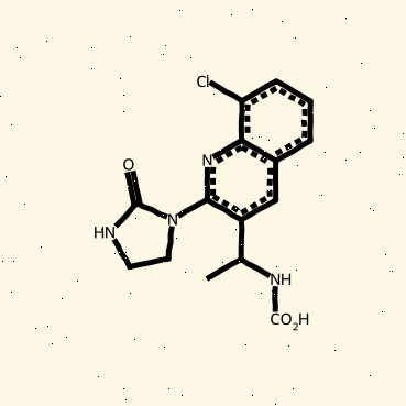 CC(NC(=O)O)c1cc2cccc(Cl)c2nc1N1CCNC1=O